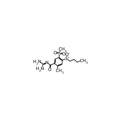 CCCC[S+]([O-])c1cc(C)c(C(=O)N=C(N)N)cc1S(C)(=O)=O